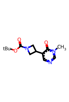 Cn1cncc(C2CN(C(=O)OC(C)(C)C)C2)c1=O